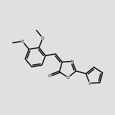 COc1cccc(/C=C2/N=C(c3cccs3)OC2=O)c1OC